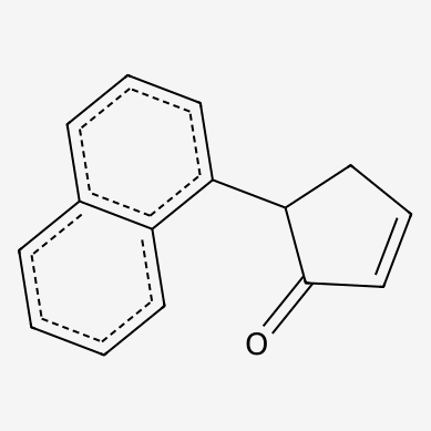 O=C1C=CCC1c1cccc2ccccc12